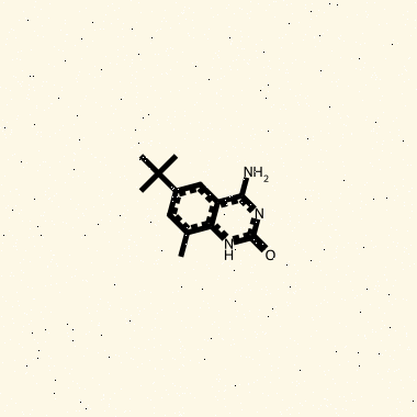 Cc1cc(C(C)(C)C)cc2c(N)nc(=O)[nH]c12